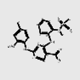 COc1cc(C)ccc1Nc1ncc(C(=O)C(C)C)c(Nc2ccccc2N(C)S(C)(=O)=O)n1